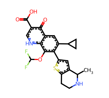 CC1NCCc2sc(-c3c(C4CC4)cc4c(=O)c(C(=O)O)c[nH]c4c3OC(F)F)cc21